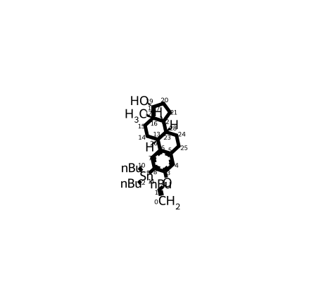 C=COc1cc2c(c[c]1[Sn]([CH2]CCC)([CH2]CCC)[CH2]CCC)[C@H]1CC[C@]3(C)[C@H](O)CC[C@H]3[C@@H]1CC2